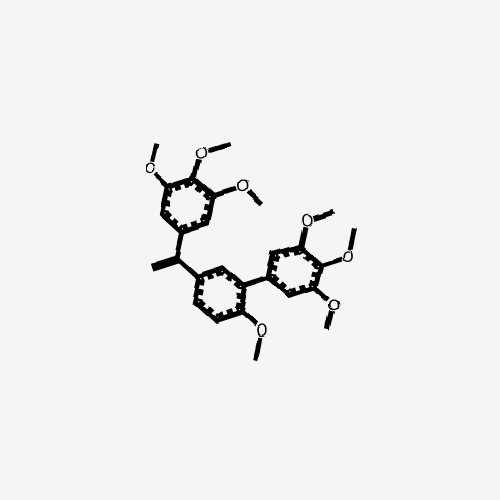 C=C(c1cc(OC)c(OC)c(OC)c1)c1ccc(OC)c(-c2cc(OC)c(OC)c(OC)c2)c1